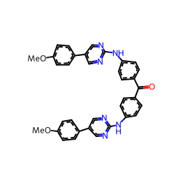 COc1ccc(-c2cnc(Nc3ccc(C(=O)c4ccc(Nc5ncc(-c6ccc(OC)cc6)cn5)cc4)cc3)nc2)cc1